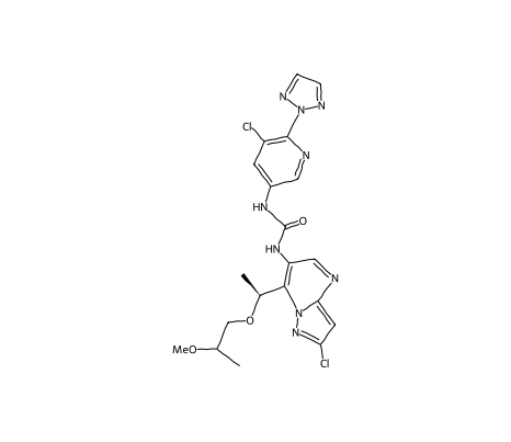 COC(C)CO[C@@H](C)c1c(NC(=O)Nc2cnc(-n3nccn3)c(Cl)c2)cnc2cc(Cl)nn12